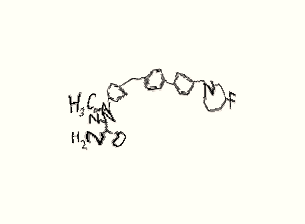 Cc1nc(C(N)=O)nn1-c1ccc(Cc2ccc(-c3ccc(CN4CCC[C@H](F)C4)cc3)cc2)cc1